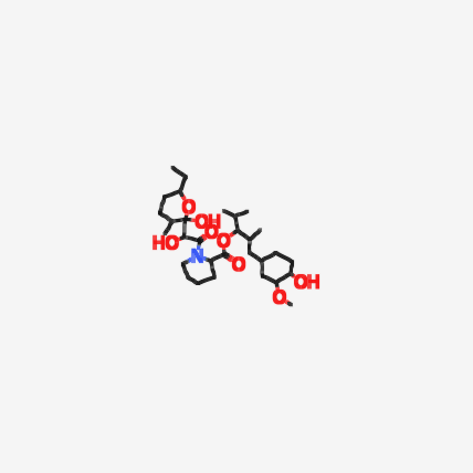 CCC1CCC(C)C(O)(C(O)C(=O)N2CCCCC2C(=O)OC(C(C)C)C(C)CC2CCC(O)C(OC)C2)O1